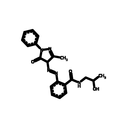 CC1=NN(c2ccccc2)C(=O)C1/N=N/c1ccccc1C(=O)NCC(C)O